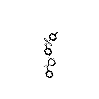 Cc1ccc(S(=O)(=O)Oc2ccc([C@H]3CN([C@@H](C)c4ccccc4)CCO3)cc2)cc1